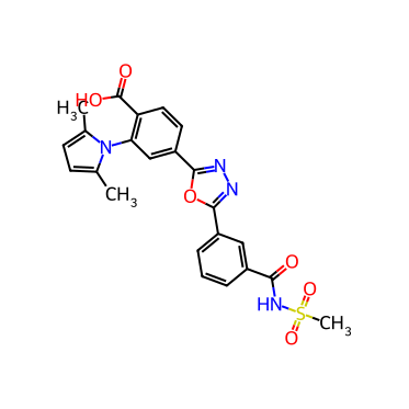 Cc1ccc(C)n1-c1cc(-c2nnc(-c3cccc(C(=O)NS(C)(=O)=O)c3)o2)ccc1C(=O)O